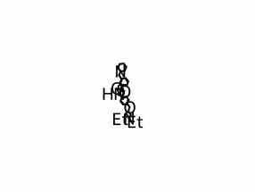 CCN(CC)CCOc1ccc(NS(=O)(=O)c2cccc(CN3CCCCC3)c2)cc1